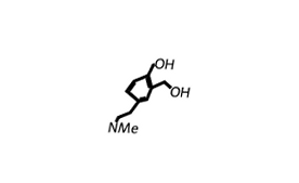 CNCCc1ccc(CO)c(CO)c1